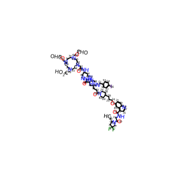 C#C[C@H]1CC(F)(F)CN1C(=O)CNC(=O)c1ccnc2ccc(OCCCC3CCN(C(=O)CCCCCC(=O)N/N=C\C(C/C=N/NCN/N=C/c4ccc(I)cc4)NC(=O)CN4CCN(COC=O)CCN(COC=O)CCN(CC(=O)O)CC4)CC3)cc12